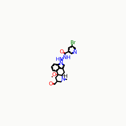 CO[C@]12CC(C=O)CN(C)[C@@H]1Cc1cn(NNC(=O)c3cncc(Br)c3)c3cccc2c13